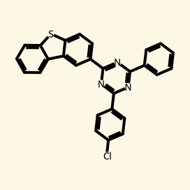 Clc1ccc(-c2nc(-c3ccccc3)nc(-c3ccc4sc5ccccc5c4c3)n2)cc1